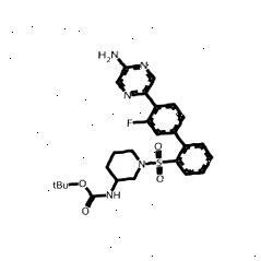 CC(C)(C)OC(=O)NC1CCCN(S(=O)(=O)c2ccccc2-c2ccc(-c3cnc(N)cn3)c(F)c2)C1